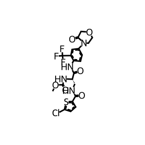 COC(=O)N[C@@H](CNC(=O)c1ccc(Cl)s1)C(=O)Nc1ccc(N2CCOCC2=O)cc1C(F)(F)F